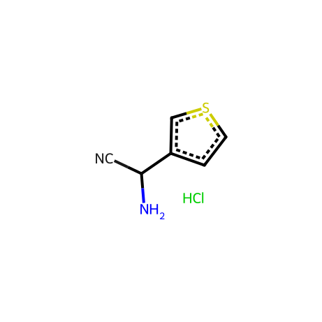 Cl.N#CC(N)c1ccsc1